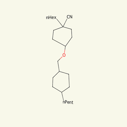 CCCCCCC1(C#N)CCC(OCC2CCC(CCCCC)CC2)CC1